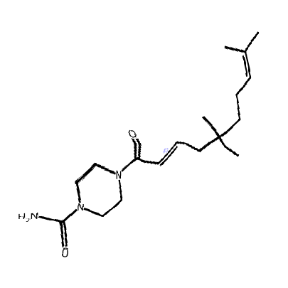 CC(C)=CCCC(C)(C)C/C=C/C(=O)N1CCN(C(N)=O)CC1